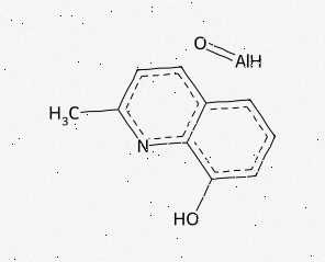 Cc1ccc2cccc(O)c2n1.[O]=[AlH]